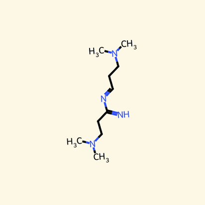 CN(C)CCC=NC(=N)CCN(C)C